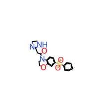 O=C(CC1=NCCN1)N1CCOc2cc(S(=O)(=O)c3ccccc3)ccc21